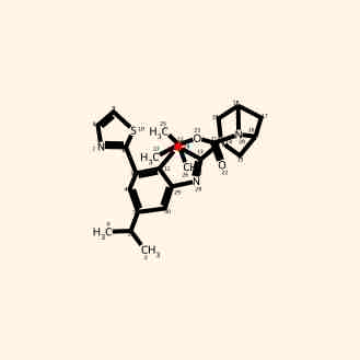 CC(C)c1cc(-c2nccs2)c2oc(N3CC4CC(C3)N4C(=O)OC(C)(C)C)nc2c1